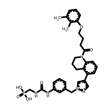 Cc1cccc(OCCCC(=O)N2CCCc3c(-c4cnn(Cc5cccc(NC(=O)NCP(=O)(O)O)c5)c4)cccc32)c1C